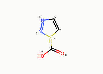 O=C(O)[SH]1C=CN=N1